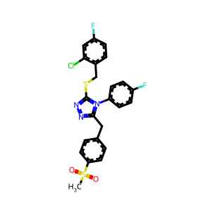 CS(=O)(=O)c1ccc(Cc2nnc(SCc3ccc(F)cc3Cl)n2-c2ccc(F)cc2)cc1